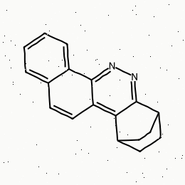 c1ccc2c(c1)ccc1c3c(nnc12)C1CCC3CC1